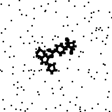 O=C(O[C@@H]1c2ccccc2C[C@H]1N1CCCC1)c1ccc(N2C(=O)CCC2=O)cc1